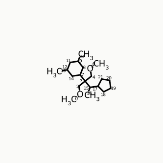 COCC(COC)(C1CC(C)CC(C)C1)C(C)C1CCCC1